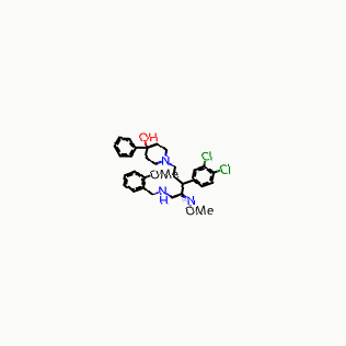 CO/N=C(\CNCc1ccccc1OC)C(CCN1CCC(O)(c2ccccc2)CC1)c1ccc(Cl)c(Cl)c1